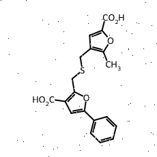 Cc1oc(C(=O)O)cc1CSCc1oc(-c2ccccc2)cc1C(=O)O